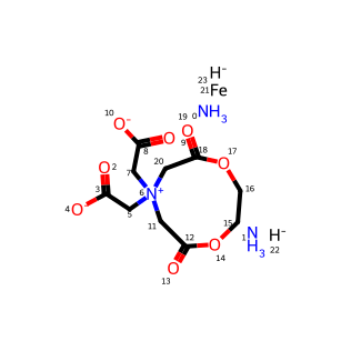 N.N.O=C([O-])C[N+]1(CC(=O)[O-])CC(=O)OCCOC(=O)C1.[Fe].[H-].[H-]